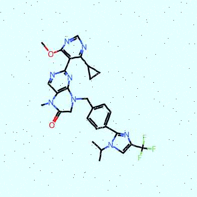 COc1ncnc(C2CC2)c1-c1ncc2c(n1)N(Cc1ccc(-c3nc(C(F)(F)F)cn3C(C)C)cc1)CC(=O)N2C